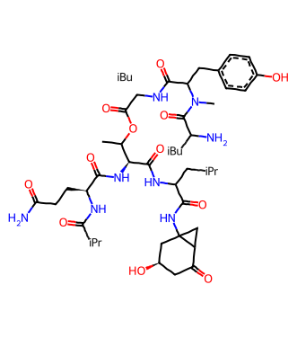 CCC(C)C(N)C(=O)N(C)C(Cc1ccc(O)cc1)C(=O)NC(C(=O)OC(C)[C@H](NC(=O)[C@H](CCC(N)=O)NC(=O)C(C)C)C(=O)NC(CC(C)C)C(=O)NC12CC1C(=O)C[C@@H](O)C2)[C@H](C)CC